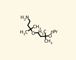 CCCOC(C)(C)CCOC(C)(C)CCN